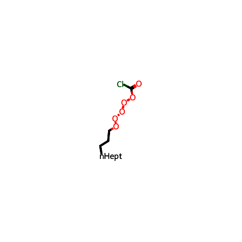 CCCCCCCCCCOOOOOC(=O)Cl